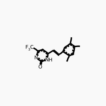 Cc1cc(C)c(/C=C/c2cc(C(F)(F)F)nc(=O)[nH]2)cc1C